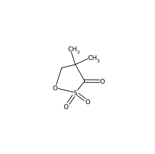 CC1(C)COS(=O)(=O)C1=O